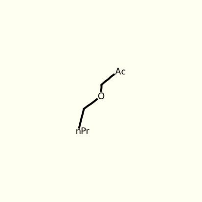 CCCCOCC(C)=O